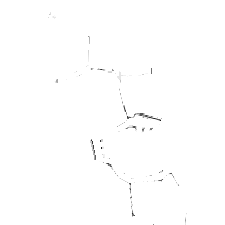 CCN(C(=O)CBr)c1ccc2c(c1)CCC2